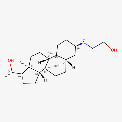 C[C@H](O)[C@H]1CC[C@H]2[C@@H]3CC[C@H]4C[C@H](NCCO)CC[C@]4(C)[C@H]3CC[C@]12C